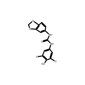 O=C(Nc1cc(Cl)c(O)c(Cl)c1)Nc1ccc2c(c1)OCO2